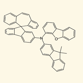 CC1(C)c2ccccc2-c2ccc(N(c3ccc4c(c3)C3(c5ccccc5C=Cc5ccccc53)c3ccccc3-4)c3cccc4c3oc3ccccc34)cc21